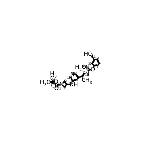 C#Cc1cccc(O/C(N=C)=N/C=C(\C)c2cncc(NC3CN(C(=O)OC(C)(C)C)C3)c2)c1